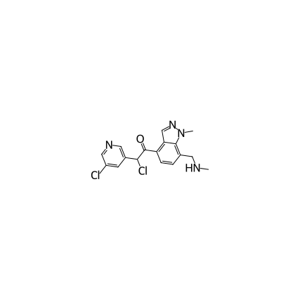 CNCc1ccc(C(=O)C(Cl)c2cncc(Cl)c2)c2cnn(C)c12